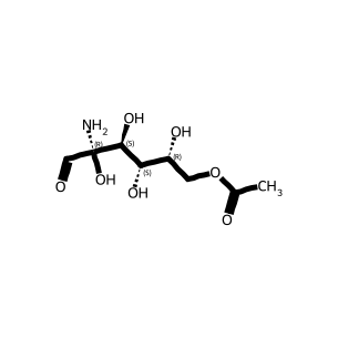 CC(=O)OC[C@@H](O)[C@H](O)[C@H](O)[C@@](N)(O)C=O